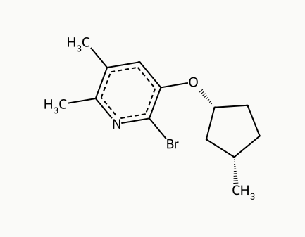 Cc1cc(O[C@@H]2CC[C@H](C)C2)c(Br)nc1C